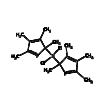 CC1=P[C](C)([Ti]([Cl])([Cl])[C]2(C)P=C(C)C(C)=C2C)C(C)=C1C